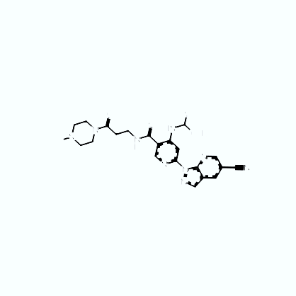 CC(C)Nc1cc(-n2ncc3cc(C#N)cnc32)ncc1C(=O)NCCC(=O)N1CCN(C)CC1